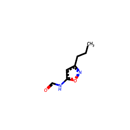 CCCc1cc(NC=O)on1